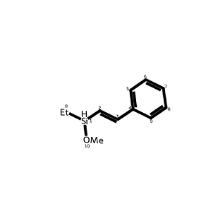 CC[SiH](C=Cc1ccccc1)OC